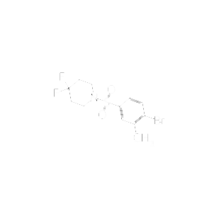 Cc1cc(S(=O)(=O)N2CCC(F)(F)CC2)ccc1Br